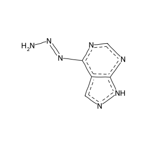 NN=Nc1ncnc2[nH]ncc12